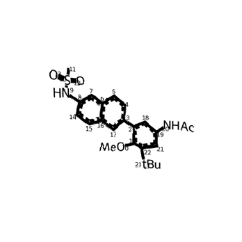 COc1c(-c2ccc3cc(NS(C)(=O)=O)ccc3c2)cc(NC(C)=O)cc1C(C)(C)C